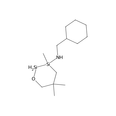 CC1(C)CO[SiH2][Si](C)(NCC2CCCCC2)C1